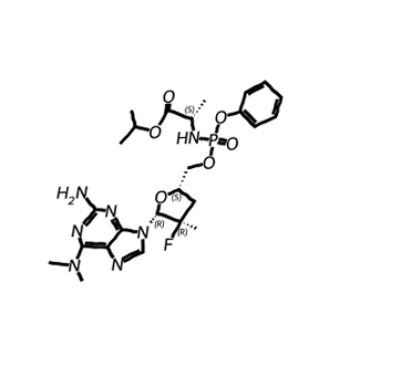 CC(C)OC(=O)[C@H](C)NP(=O)(OC[C@@H]1C[C@@](C)(F)[C@H](n2cnc3c(N(C)C)nc(N)nc32)O1)Oc1ccccc1